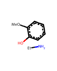 CCN.COc1ccccc1O